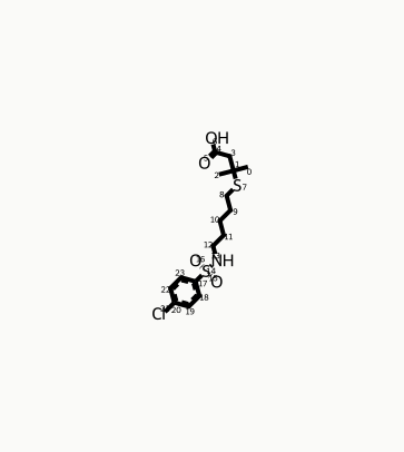 CC(C)(CC(=O)O)SCCCCCNS(=O)(=O)c1ccc(Cl)cc1